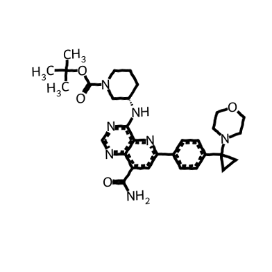 CC(C)(C)OC(=O)N1CCC[C@H](Nc2ncnc3c(C(N)=O)cc(-c4ccc(C5(N6CCOCC6)CC5)cc4)nc23)C1